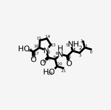 CC(C)CC(N)C(=O)NC(C(=O)N1CCCC1C(=O)O)C(C)O